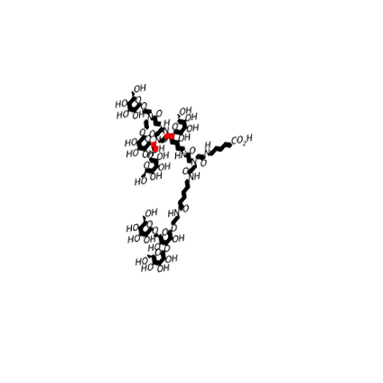 O=C(O)CCCCCNC(=O)CN(CC(=O)NCCCCCC(=O)NCCO[C@H]1O[C@H](CO[C@H]2O[C@H](CO)[C@@H](O)[C@H](O)[C@@H]2O)[C@@H](O)[C@H](O[C@H]2O[C@H](CO)[C@@H](O)[C@H](O)[C@@H]2O)[C@@H]1O)CC(=O)NCCCCCC(=O)N[C@@H](CCC(=O)N(CCO[C@H]1O[C@H](CO)[C@@H](O)[C@H](O)[C@@H]1O)CCO[C@H]1O[C@H](CO)[C@@H](O)[C@H](O)[C@@H]1O)C(=O)N(CCO[C@H]1O[C@H](CO)[C@@H](O)[C@H](O)[C@@H]1O)CCO[C@H]1O[C@H](CO)[C@@H](O)[C@H](O)[C@@H]1O